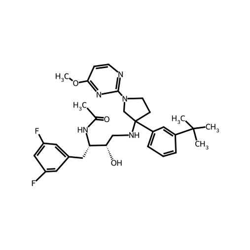 COc1ccnc(N2CCC(NC[C@H](O)[C@H](Cc3cc(F)cc(F)c3)NC(C)=O)(c3cccc(C(C)(C)C)c3)C2)n1